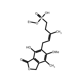 CCOP(=O)(O)CCC(C)=CCc1c(O)c2c(c(C)c1OC)COC2=O